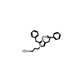 CCCCCCCCCCCCCn1cc(CC(C)c2ccccc2)[n+](CCCCCCC)c1Cc1ccccc1